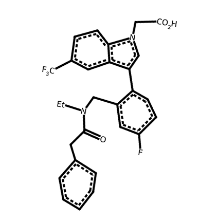 CCN(Cc1cc(F)ccc1-c1cn(CC(=O)O)c2ccc(C(F)(F)F)cc12)C(=O)Cc1ccccc1